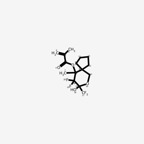 C=C(C)C(=O)OC1(C)C2(CCCC2)COC(O)(C(F)(F)F)C1(F)F